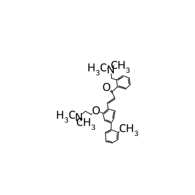 Cc1ccccc1-c1ccc(C=CC(=O)c2ccccc2CN(C)C)c(OCCN(C)C)c1